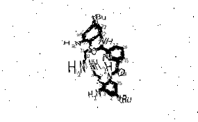 CC(C)(C)c1cc(N)c(SCCN)c(NC(=O)c2cccc(C(=O)Nc3cc(C(C)(C)C)cc(N)c3SCCN)n2)c1